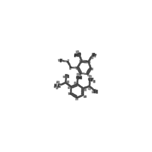 CC(C)c1cccc(CCF)c1O.CCC(c1cccc(C(CC)C(F)(F)F)c1O)C(F)(F)F